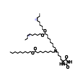 CC/C=C\CCCCOC(CCCCCCCN(CCCCCCCC(=O)OCCCCCCCCC)CCCC[C@@H]1NC(=O)NC1=O)OCCCC/C=C\CC